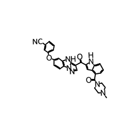 CN1CCN(C(=O)c2cccc3[nH]c(C(=O)c4cnn5c4[nH]c4cc(Oc6cccc(C#N)c6)ccc45)cc23)CC1